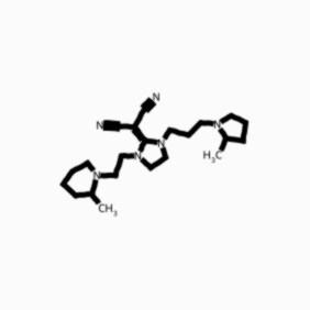 CC1CCCN1CCCN1CCN(CCN2CCCCC2C)C1=C(C#N)C#N